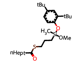 CCCCCCCC(=O)SCCC[Si](C)(OC)Oc1ccc(C(C)(C)C)cc1C(C)(C)C